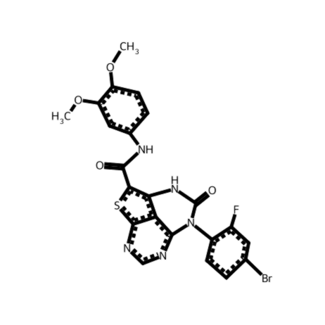 COc1ccc(NC(=O)c2sc3ncnc4c3c2NC(=O)N4c2ccc(Br)cc2F)cc1OC